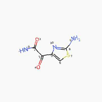 [NH]C(=O)C(=O)c1csc(N)n1